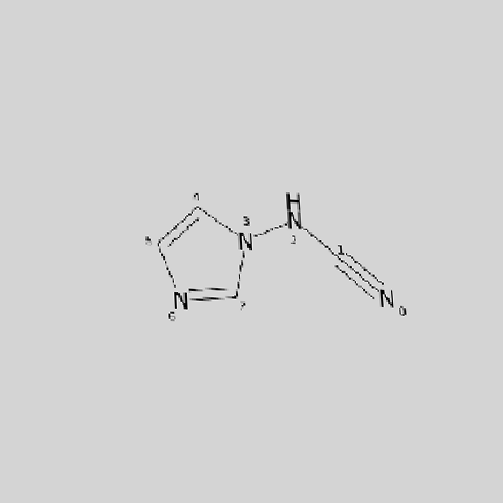 N#CNn1ccnc1